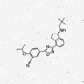 CC(C)Oc1ccc(-c2nc(-c3cccc4c3CC[C@H]4NCC(C)(C)C)no2)cc1C#N